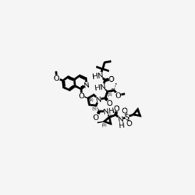 CCC(C)(C)NC(=O)N[C@H](C(=O)N1C[C@H](Oc2nccc3cc(OC)ccc23)C[C@H]1C(=O)N[C@]1(C(=O)NS(=O)(=O)C2CC2)C[C@H]1C)[C@H](C)OC